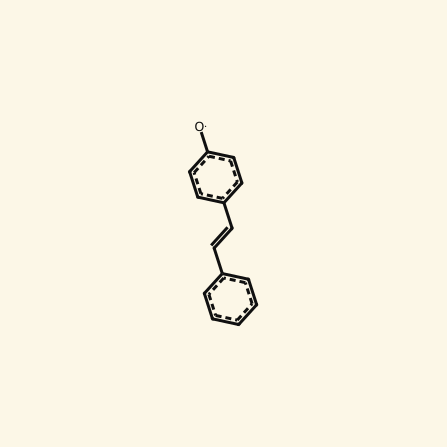 [O]c1ccc(C=Cc2ccccc2)cc1